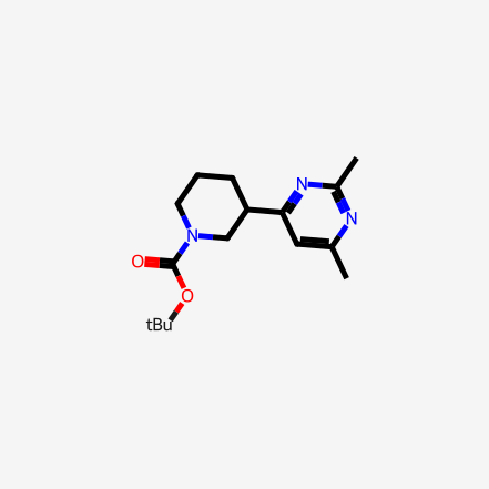 Cc1cc(C2CCCN(C(=O)OC(C)(C)C)C2)nc(C)n1